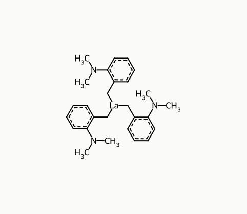 CN(C)c1ccccc1[CH2][La]([CH2]c1ccccc1N(C)C)[CH2]c1ccccc1N(C)C